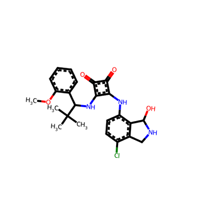 COc1ccccc1C(Nc1c(Nc2ccc(Cl)c3c2C(O)NC3)c(=O)c1=O)C(C)(C)C